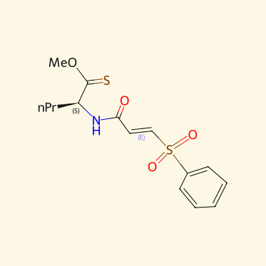 CCC[C@H](NC(=O)/C=C/S(=O)(=O)c1ccccc1)C(=S)OC